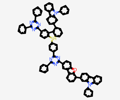 c1ccc(-c2nc(-c3ccccc3)nc(-c3ccc4c(c3)-c3c(-c5ccc6c7ccccc7n(-c7ccccc7)c6c5)cccc3[SH]4c3ccc(-c4nc(-c5ccccc5)nc(-c5ccc6oc7c(-c8ccc9c%10ccccc%10n(-c%10ccccc%10)c9c8)cccc7c6c5)n4)cc3)n2)cc1